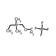 CC[N+](C)(C)COC.F[B-](F)(F)F